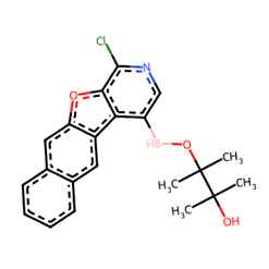 CC(C)(O)C(C)(C)OBc1cnc(Cl)c2oc3cc4ccccc4cc3c12